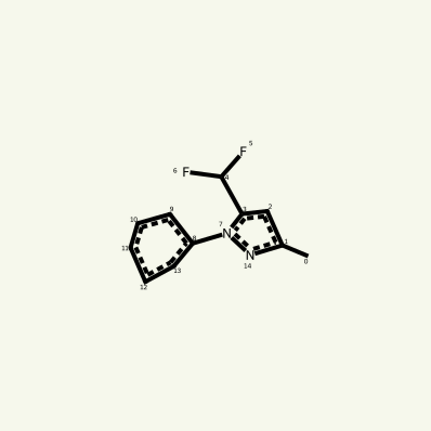 Cc1cc(C(F)F)n(-c2ccccc2)n1